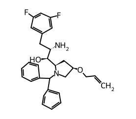 C=CCO[C@@H]1C[C@H]([C@@H](O)[C@@H](N)Cc2cc(F)cc(F)c2)N(C(c2ccccc2)c2ccccc2)C1